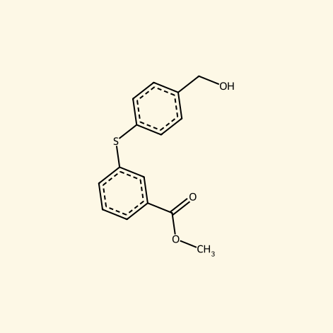 COC(=O)c1cccc(Sc2ccc(CO)cc2)c1